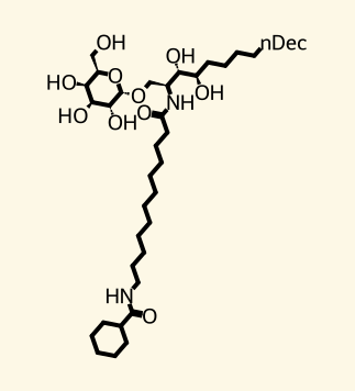 CCCCCCCCCCCCCC[C@@H](O)[C@@H](O)[C@H](CO[C@H]1O[C@H](CO)[C@H](O)[C@H](O)[C@H]1O)NC(=O)CCCCCCCCCCCNC(=O)C1CCCCC1